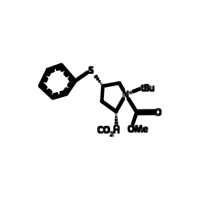 COC(=O)[N+]1(C(C)(C)C)C[C@@H](Sc2ccccc2)C[C@H]1C(=O)O